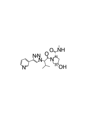 CNC(=O)[C@@H]1C[C@@H](O)CN1C(=O)C(C(C)C)n1cc(-c2cccnc2)nn1